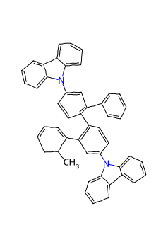 CC1CC=CC=C1c1cc(-n2c3ccccc3c3ccccc32)ccc1-c1ccc(-n2c3ccccc3c3ccccc32)cc1-c1ccccc1